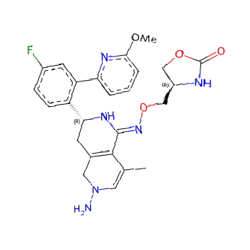 COc1cccc(-c2cc(F)ccc2[C@H]2CC3=C(C(C)=CN(N)C3)C(=NOC[C@H]3COC(=O)N3)N2)n1